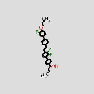 C=CCCOc1ccc(C2=CCC(CCc3ccc(-c4ccc(C(O)CCC)cc4)c(F)c3F)CC2)cc1F